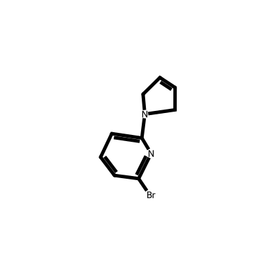 Brc1cccc(N2CC=CC2)n1